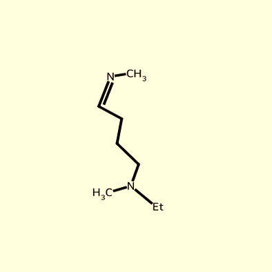 CCN(C)CCC/C=N\C